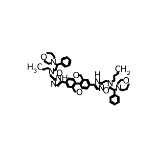 C=CCCN(Cc1ncc(-c2cc3c4c(c2)OCc2cc(-c5cnc(CN(CCC)C(=O)C(c6ccccc6)N6CCCOCC6)[nH]5)cc(c2-4)OC3)[nH]1)C(=O)C(c1ccccc1)N1CCCOCC1